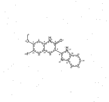 COc1cc2[nH]c(=O)c(-c3nc4ccccc4[nH]3)cc2cc1F